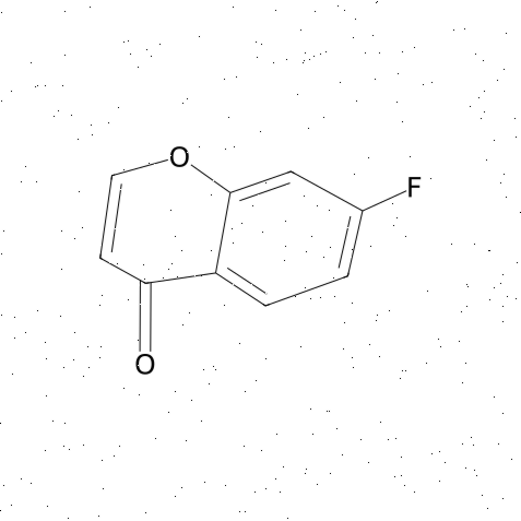 O=c1ccoc2cc(F)ccc12